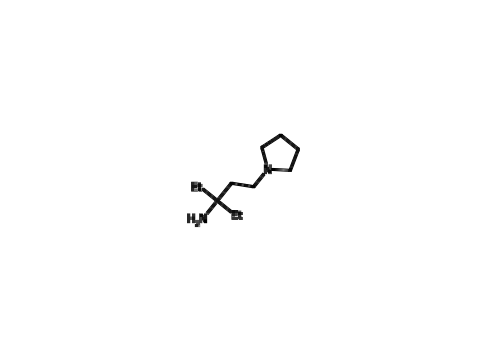 CCC(N)(CC)CCN1CCCC1